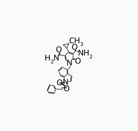 CC1CC1c1c(C(N)=O)cn(Cc2cccc3c2ccn3S(=O)(=O)Cc2ccccc2)c(=O)c1C(N)=O